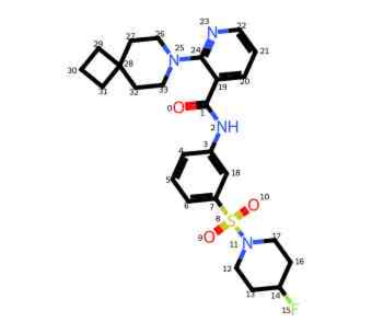 O=C(Nc1cccc(S(=O)(=O)N2CCC(F)CC2)c1)c1cccnc1N1CCC2(CCC2)CC1